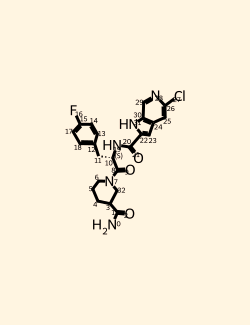 NC(=O)C1CCCN(C(=O)[C@H](Cc2ccc(F)cc2)NC(=O)c2cc3cc(Cl)ncc3[nH]2)C1